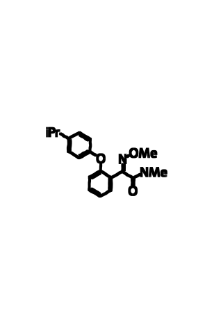 CNC(=O)/C(=N\OC)c1ccccc1Oc1ccc(C(C)C)cc1